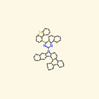 c1ccc2cc3c(cc2c1)c1c2c4ccccc4c4ccccc4c2ccc1n3-c1nc(-c2cccc3sc4ccccc4c23)c2ccc3ccccc3c2n1